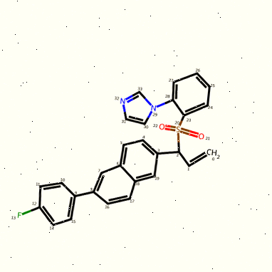 C=CC(c1ccc2cc(-c3ccc(F)cc3)ccc2c1)S(=O)(=O)c1ccccc1-n1ccnc1